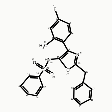 Cc1cc(F)ccc1-c1nc(Cc2ccccc2)oc1NS(=O)(=O)c1ccccc1